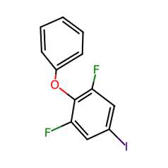 Fc1cc(I)cc(F)c1Oc1ccccc1